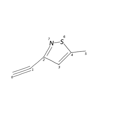 C#Cc1cc(C)sn1